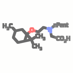 CCCCCN(CCOC12CC(C)CCC1C2(C)C)CC(=O)O